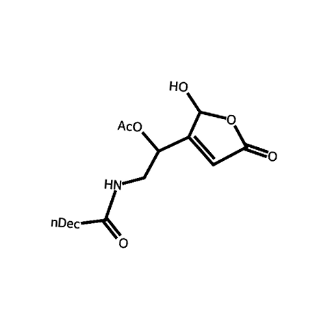 CCCCCCCCCCC(=O)NCC(OC(C)=O)C1=CC(=O)OC1O